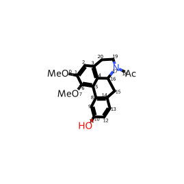 COc1cc2c3c(c1OC)-c1cc(O)ccc1CC3N(C(C)=O)CC2